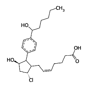 CCCCCC(O)c1ccc(C2C(C/C=C\CCCC(=O)O)[C@H](Cl)C[C@H]2O)cc1